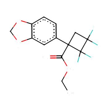 CCOC(=O)C1(c2ccc3c(c2)OCO3)CC(F)(F)C1(F)F